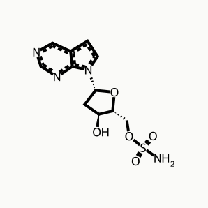 NS(=O)(=O)OC[C@H]1O[C@@H](n2ccc3cncnc32)C[C@@H]1O